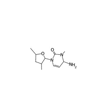 CC1CC(C)C(N2C=CC(N)N(C)C2=O)O1